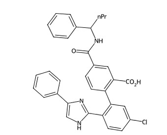 CCCC(NC(=O)c1ccc(-c2cc(Cl)ccc2-c2nc(-c3ccccc3)c[nH]2)c(C(=O)O)c1)c1ccccc1